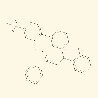 Cc1ccccc1C(CC(=NO)c1ccncc1)c1cccc(-c2ccc(S(C)(=O)=O)cc2)c1